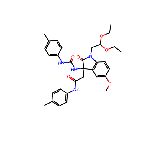 CCOC(CN1C(=O)[C@@](CC(=O)Nc2ccc(C)cc2)(NC(=O)Nc2ccc(C)cc2)c2cc(OC)ccc21)OCC